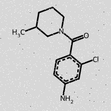 CC1CCCN(C(=O)c2ccc(N)cc2Cl)C1